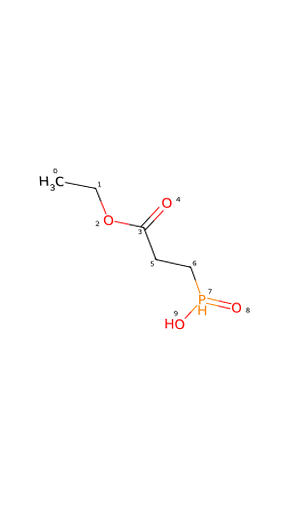 CCOC(=O)CC[PH](=O)O